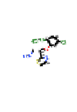 Cl.NC[C@H](COc1cc(Cl)ccc1Cl)c1nccs1